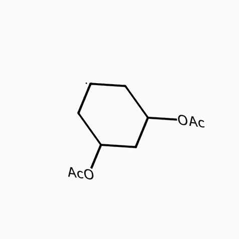 CC(=O)OC1C[CH]CC(OC(C)=O)C1